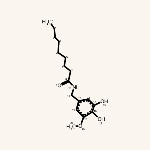 CCCCCCCCC(=O)NCc1cc(O)c(O)c(OC)c1